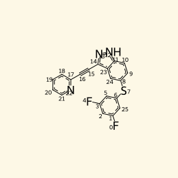 Fc1cc(F)cc(Sc2ccc3[nH]nc(C#Cc4ccccn4)c3c2)c1